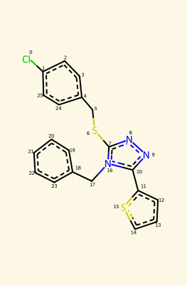 Clc1ccc(CSc2nnc(-c3cccs3)n2Cc2ccccc2)cc1